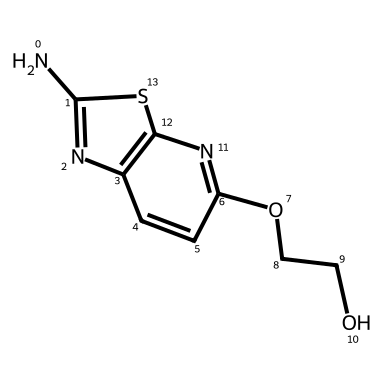 Nc1nc2ccc(OCCO)nc2s1